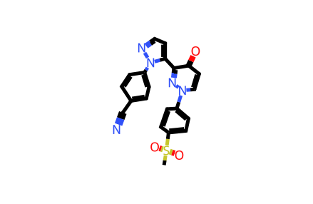 CS(=O)(=O)c1ccc(-n2ccc(=O)c(-c3ccnn3-c3ccc(C#N)cc3)n2)cc1